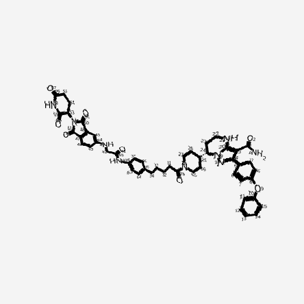 NC(=O)c1c(-c2ccc(Oc3ccccc3)cc2)nn2c1NCC[C@H]2C1CCN(C(=O)CCCCc2ccc(NC(=O)CNc3ccc4c(c3)C(=O)N(C3CCC(=O)NC3=O)C4=O)cc2)CC1